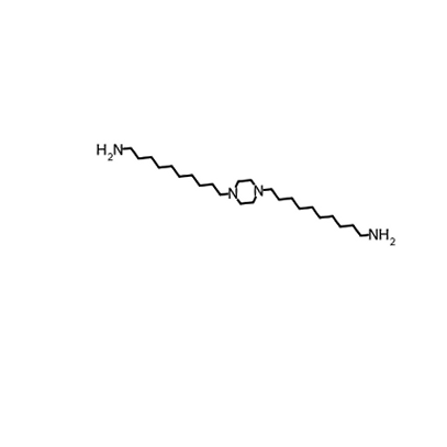 NCCCCCCCCCCN1CCN(CCCCCCCCCCN)CC1